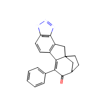 O=C1C(c2ccccc2)=C2c3ccc4[nH]nnc4c3CC23CCC1C3